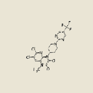 Cn1c(=O)c(=O)n(C2CCN(c3ncc(C(F)(F)F)cn3)CC2)c2nc(Cl)c(Cl)cc21